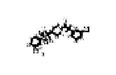 CC(C)(C(=O)N1CCC(C(C)(C)S(=O)(=O)c2cccc(C(F)(F)F)c2)CC1)c1cccc(Cl)c1